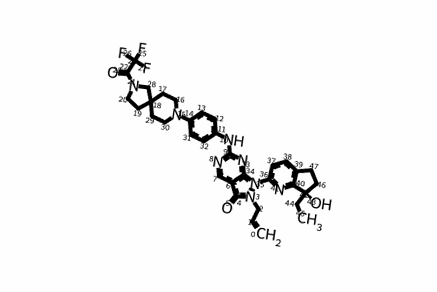 C=CCn1c(=O)c2cnc(Nc3ccc(N4CCC5(CCN(C(=O)C(F)(F)F)C5)CC4)cc3)nc2n1-c1ccc2c(n1)[C@@](O)(CC)CC2